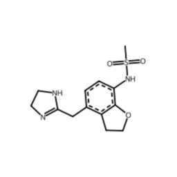 CS(=O)(=O)Nc1ccc(CC2=NCCN2)c2c1OCC2